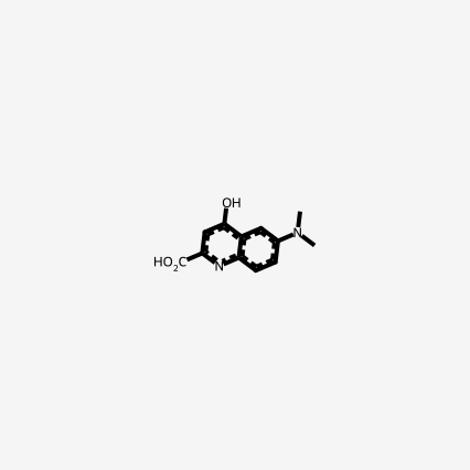 CN(C)c1ccc2nc(C(=O)O)cc(O)c2c1